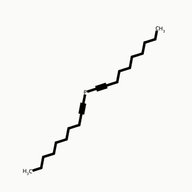 CCCCCCCCC#C[P]C#CCCCCCCCC